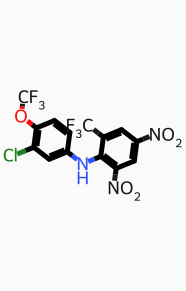 O=[N+]([O-])c1cc([N+](=O)[O-])c(Nc2ccc(OC(F)(F)F)c(Cl)c2)c(C(F)(F)F)c1